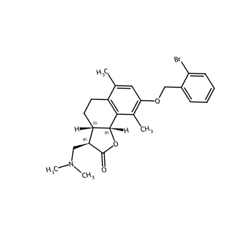 Cc1cc(OCc2ccccc2Br)c(C)c2c1CC[C@H]1[C@H](CN(C)C)C(=O)O[C@@H]21